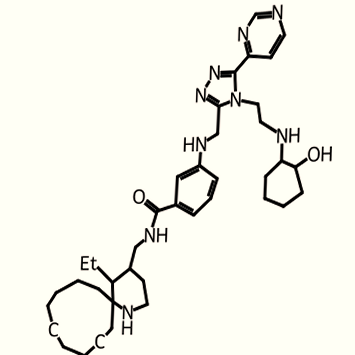 CCC1C(CNC(=O)c2cccc(NCc3nnc(-c4ccncn4)n3CCNC3CCCCC3O)c2)CCNC12CCCCCCCCC2